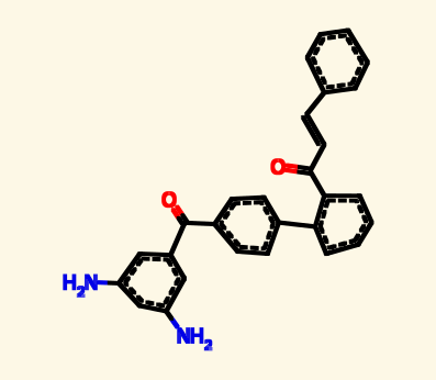 Nc1cc(N)cc(C(=O)c2ccc(-c3ccccc3C(=O)C=Cc3ccccc3)cc2)c1